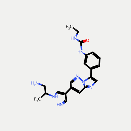 N=C/C(=C\NC(CN)C(F)(F)F)c1cnn2c(-c3cccc(NC(=O)NCC(F)(F)F)c3)cnc2c1